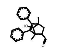 CC12CC(C=O)C(C)(C(c3ccccc3)=C1c1ccccc1)C2O